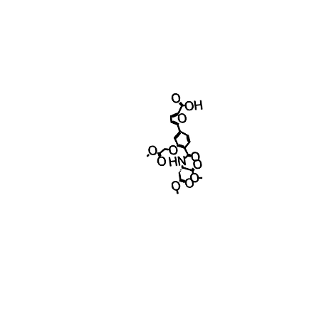 COC(=O)COc1cc(-c2ccc(C(=O)O)o2)ccc1C(=O)N[C@@H](CC(=O)OC)C(=O)OC